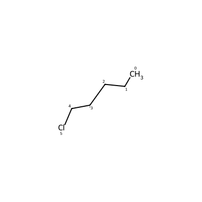 CCC[CH]CCl